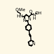 COCCNc1cc(C(=O)NO)nc(-c2ccc(C#Cc3cccnc3)cc2)n1